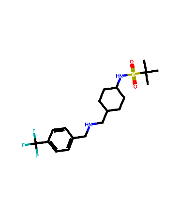 CC(C)(C)S(=O)(=O)NC1CCC(CNCc2ccc(C(F)(F)F)cc2)CC1